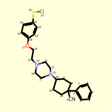 N#CC1(c2ccccc2)CCC(N2CCN(CCOc3ccc(SCl)cc3)CC2)CC1